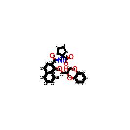 O=C(NC1(C(=O)O)CCCC1)c1ccc2ccccc2c1OCC1COc2ccccc2O1